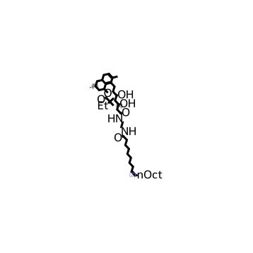 CCCCCCCC/C=C\CCCCCCCC(=O)NCCNC(=O)C[C@H](O)CC(O)CCC1=C2C(CC=C1C)C[C@@H](C)CC2OC(=O)C(C)(C)CC